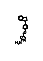 NC1=NCC(COc2ccc(C3CCc4ccccc43)cc2)O1